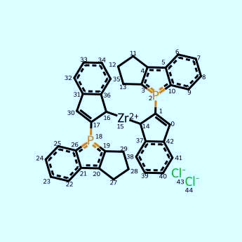 C1=C(p2c3c(c4ccccc42)CCC3)[CH]([Zr+2][CH]2C(p3c4c(c5ccccc53)CCC4)=Cc3ccccc32)c2ccccc21.[Cl-].[Cl-]